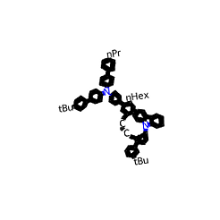 CCCCCCc1cc2c(cc1-c1ccc(N(c3ccc(-c4ccc(CCC)cc4)cc3)c3ccc(-c4ccc(C(C)(C)C)cc4)cc3)cc1)CCCCCc1cc(ccc1-c1cccc(C(C)(C)C)c1)-n1c3ccccc3c3cc-2ccc31